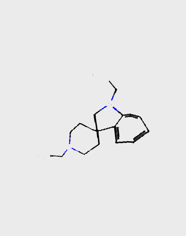 O=C(O)CN1CC2(CCN(CC(F)(F)F)CC2)c2ccccc21